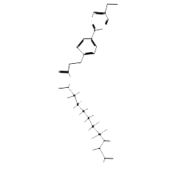 CCc1cnc(-c2ccc(CCC(=O)OC(F)C(F)(F)C(F)(F)C(F)(F)C(F)(F)C(F)(F)C(F)(F)C(F)C(F)C(F)F)cc2)nc1